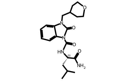 CC(C)C[C@H](NC(=O)n1c(=O)n(CC2CCOCC2)c2ccccc21)C(N)=O